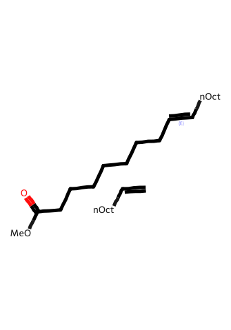 C=CCCCCCCCC.CCCCCCCC/C=C/CCCCCCCC(=O)OC